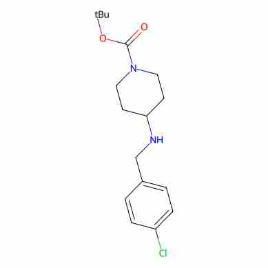 CC(C)(C)OC(=O)N1CCC(NCc2ccc(Cl)cc2)CC1